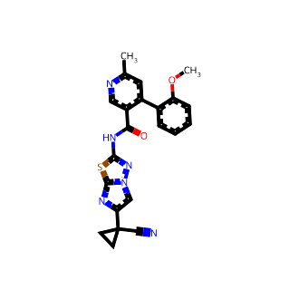 COc1ccccc1-c1cc(C)ncc1C(=O)Nc1nn2cc(C3(C#N)CC3)nc2s1